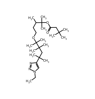 CCn1cc(C(C)(C)CC(C)(C)C(C)(C)OCCC(C)C(C)(C)OC(=O)CC(C)(C)C)nn1